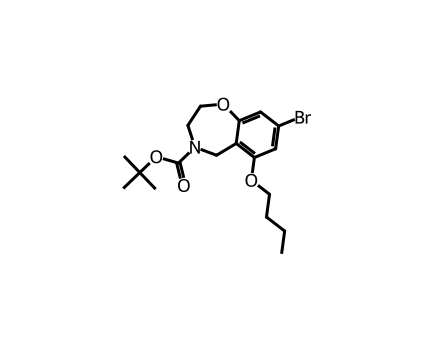 CCCCOc1cc(Br)cc2c1CN(C(=O)OC(C)(C)C)CCO2